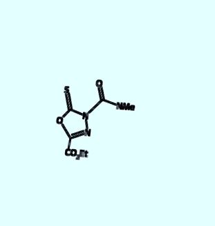 CCOC(=O)c1nn(C(=O)NC)c(=S)o1